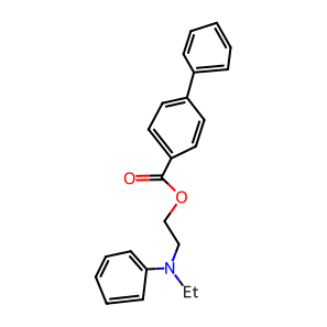 CCN(CCOC(=O)c1ccc(-c2ccccc2)cc1)c1ccccc1